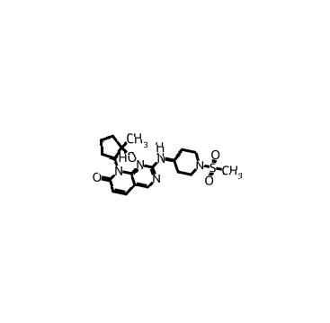 CC1(O)CCCC1n1c(=O)ccc2cnc(NC3CCN(S(C)(=O)=O)CC3)nc21